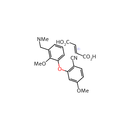 CNCc1cccc(Oc2cc(OC)ccc2C#N)c1OC.O=C(O)/C=C/C(=O)O